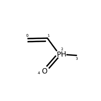 C=C[PH](C)=O